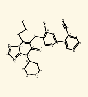 CCCc1c(Cc2ccc(-c3ccccc3C#N)cc2F)c(=O)n(C2CCOCC2)c2ncnn12